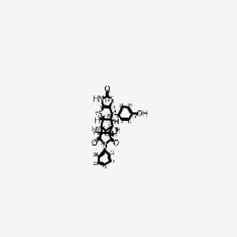 O=C1[C@@H]2[C@H]3C[C@H]([C@@H]4Sc5[nH]c(=O)sc5[C@@H](c5ccc(O)cc5)[C@H]34)[C@@H]2C(=O)N1c1ccccc1